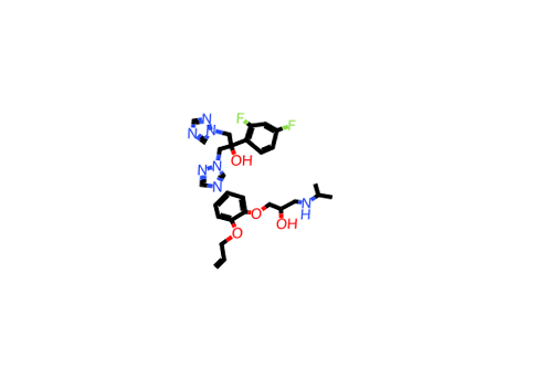 C=CCOc1ccccc1OCC(O)CNC(C)C.OC(Cn1cncn1)(Cn1cncn1)c1ccc(F)cc1F